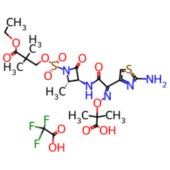 CCOC(=O)C(C)(C)COS(=O)(=O)N1C(=O)[C@@H](NC(=O)/C(=N\OC(C)(C)C(=O)O)c2csc(N)n2)[C@@H]1C.O=C(O)C(F)(F)F